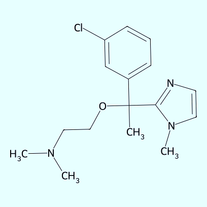 CN(C)CCOC(C)(c1cccc(Cl)c1)c1nccn1C